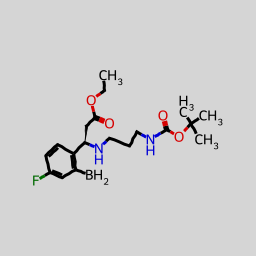 Bc1cc(F)ccc1[C@@H](CC(=O)OCC)NCCCNC(=O)OC(C)(C)C